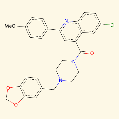 COc1ccc(-c2cc(C(=O)N3CCN(Cc4ccc5c(c4)OCO5)CC3)c3cc(Cl)ccc3n2)cc1